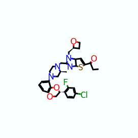 CCC(=O)C1=CC2C(N=C(CN3CCN(c4cccc5c4O[C@H](c4ccc(Cl)cc4F)CO5)C[C@@H]3C)N2C[C@@H]2CCO2)S1